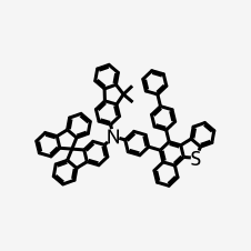 CC1(C)c2ccccc2-c2ccc(N(c3ccc(-c4c(-c5ccc(-c6ccccc6)cc5)c5c6ccccc6sc5c5ccccc45)cc3)c3ccc4c(c3)C3(c5ccccc5-c5ccccc53)c3ccccc3-4)cc21